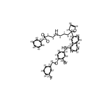 O=S(=O)(CCNCCCC1(c2cc3c(Nc4ccc(OCc5cccc(F)c5)c(Br)c4)ncnc3cn2)CC=CO1)c1ccccc1